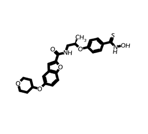 C[C@H](CNC(=O)c1cc2cc(OC3CCOCC3)ccc2o1)Oc1ccc(C(=S)NO)cc1